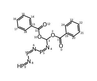 O=C(OC(/N=P\N=P/N=P)OC(=O)c1ccccc1)c1ccccc1